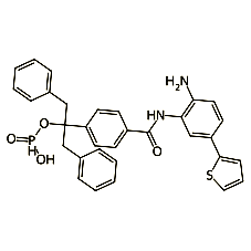 Nc1ccc(-c2cccs2)cc1NC(=O)c1ccc(C(Cc2ccccc2)(Cc2ccccc2)O[PH](=O)O)cc1